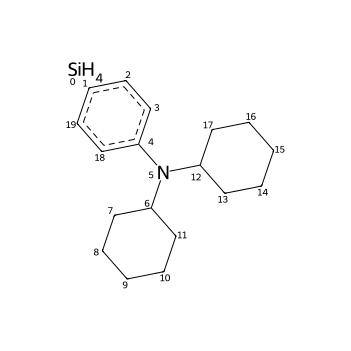 [SiH4].c1ccc(N(C2CCCCC2)C2CCCCC2)cc1